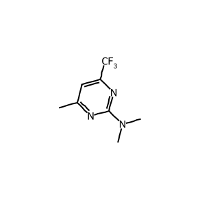 Cc1cc(C(F)(F)F)nc(N(C)C)n1